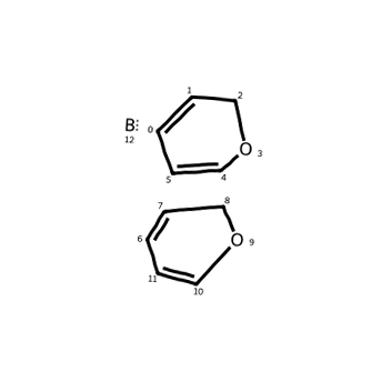 C1=CCOC=C1.C1=CCOC=C1.[B]